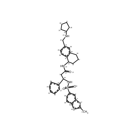 Cc1nc2cc(S(=O)(=O)NC(CC(=O)NC3CCCc4cc(CNC5CCCC5)ccc43)c3ccccc3)ccc2s1